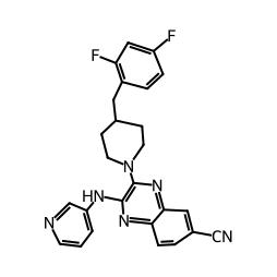 N#Cc1ccc2nc(Nc3cccnc3)c(N3CCC(Cc4ccc(F)cc4F)CC3)nc2c1